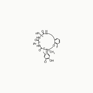 CCC[C@@H]1NC(=O)[C@@H](C(C)C)NC(=O)[C@@H](Cc2ccc(O)c(Cl)c2)N[C@@H](C)COc2c(F)cccc2CCCNC1=O